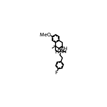 COc1ccc2c(c1)[C@@]1(C)CCN(C)[C@H](C2)[C@H]1NCCc1ccc(F)cc1